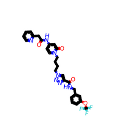 O=C(Cc1ccccn1)Nc1ccn(CCCCn2cc(C(=O)NCc3cccc(OC(F)(F)F)c3)nn2)c(=O)c1